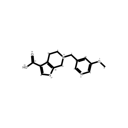 COc1cncc(CN2CCc3c(C(=O)O)csc3C2)c1